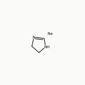 C1=NCCN1.[Na]